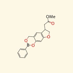 COC(=O)CC1COc2cc3c(cc21)COB(c1ccccc1)O3